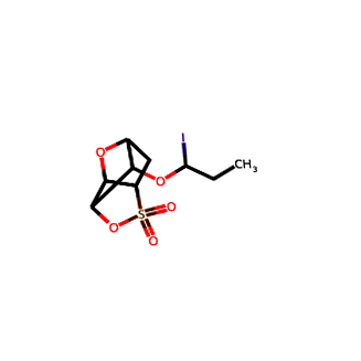 CCC(I)OC1C2CC3C(O2)C1OS3(=O)=O